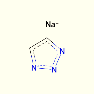 [Na+].c1c[n-]nn1